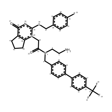 NCCN(Cc1ccc(-c2ccc(C(F)(F)F)cc2)cc1)C(=O)Cn1c(SCc2ccc(F)cc2)nc(=O)c2c1CCC2